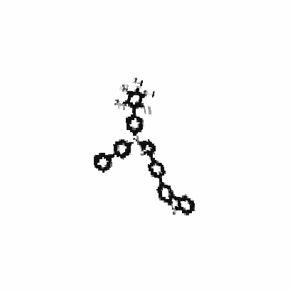 [2H]c1c([2H])c([2H])c(-c2ccc(N(c3ccc(-c4ccccc4)cc3)c3ccc(-c4ccc(-c5ccc6sc7ccccc7c6c5)cc4)s3)cc2)c([2H])c1[2H]